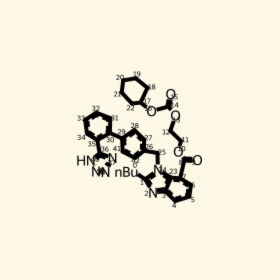 CCCCc1nc2cccc(C(=O)OCCOC(=O)OC3CCCCC3)c2n1Cc1ccc(-c2ccccc2-c2nnn[nH]2)cc1